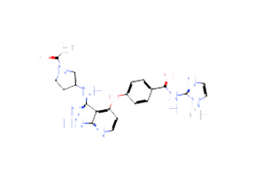 CCC(=O)N1CCC(Nc2n[nH]c3nccc(Oc4ccc(C(=O)Nc5nccn5C)cc4)c23)C1